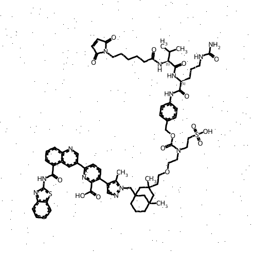 Cc1c(-c2ccc(-c3cnc4cccc(C(=O)Nc5nc6ccccc6s5)c4c3)nc2C(=O)O)cnn1CC12CCCC(C)(CC(C)(CCOCCN(CCS(=O)(=O)O)C(=O)OCc3ccc(NC(=O)[C@H](CCCNC(N)=O)NC(=O)[C@@H](NC(=O)CCCCCN4C(=O)C=CC4=O)C(C)C)cc3)C1)C2